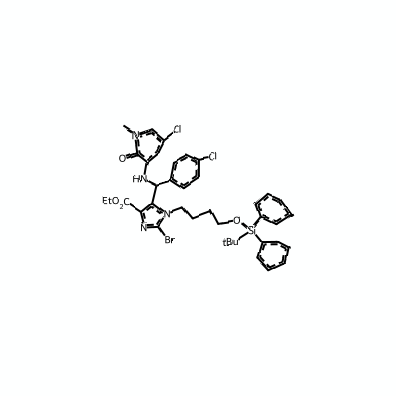 CCOC(=O)c1nc(Br)n(CCCCO[Si](c2ccccc2)(c2ccccc2)C(C)(C)C)c1C(Nc1cc(Cl)cn(C)c1=O)c1ccc(Cl)cc1